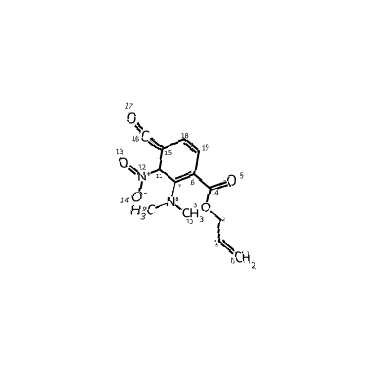 C=CCOC(=O)C1=C(N(C)C)C([N+](=O)[O-])C(=C=O)C=C1